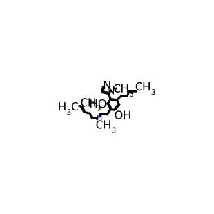 CCCCCc1cc(O)c(C/C=C(\C)CCC=C(C)C)c(O)c1-c1ccnn1C